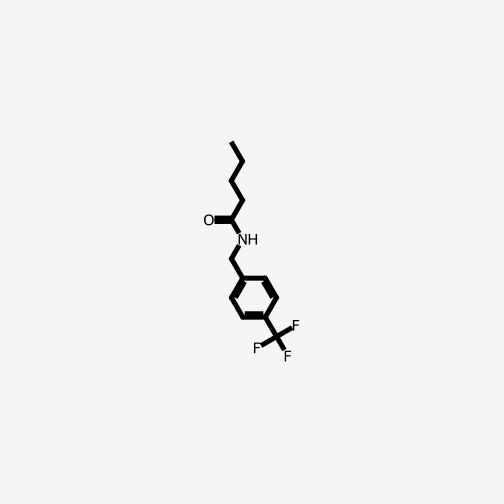 CCCCC(=O)NCc1ccc(C(F)(F)F)cc1